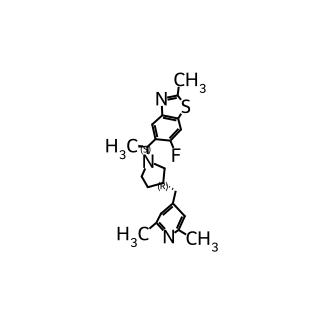 Cc1cc(C[C@@H]2CCN([C@@H](C)c3cc4nc(C)sc4cc3F)C2)cc(C)n1